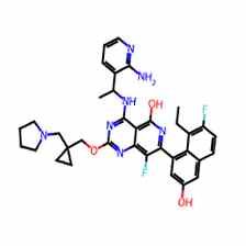 CCc1c(F)ccc2cc(O)cc(-c3nc(O)c4c(NC(C)c5cccnc5N)nc(OCC5(CN6CCCC6)CC5)nc4c3F)c12